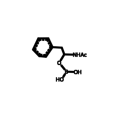 CC(=O)NC(Cc1ccccc1)OB(O)O